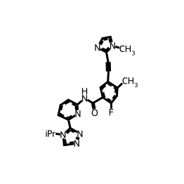 Cc1cc(F)c(C(=O)Nc2cccc(-c3nncn3C(C)C)n2)cc1C#Cc1nccn1C